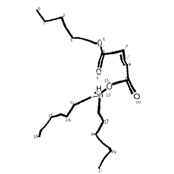 CCCCOC(=O)/C=C\C(=O)[O][SnH]([CH2]CCC)[CH2]CCC